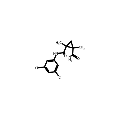 CC1(C(N)=O)CC1(C)C(=O)Nc1cc(Cl)cc(Cl)c1